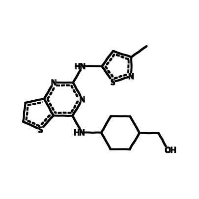 Cc1cc(Nc2nc(NC3CCC(CO)CC3)c3sccc3n2)sn1